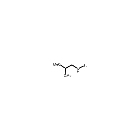 CCNC[C](OC)OC